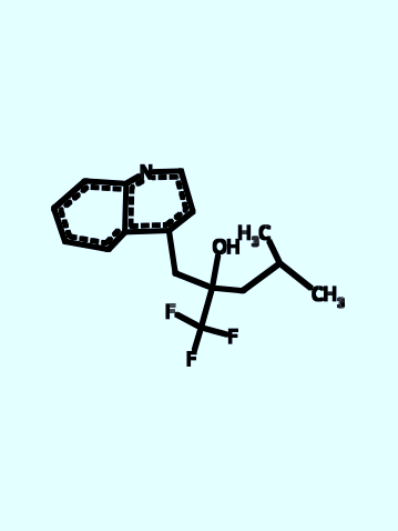 CC(C)CC(O)(Cc1ccnc2ccccc12)C(F)(F)F